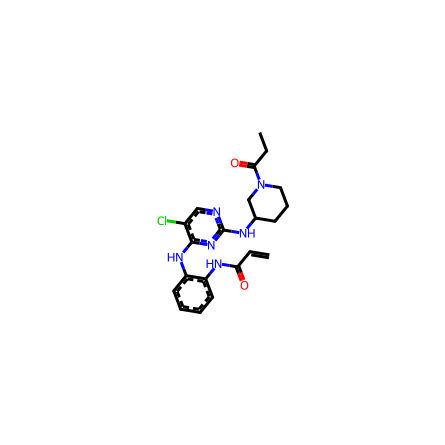 C=CC(=O)Nc1ccccc1Nc1nc(NC2CCCN(C(=O)CC)C2)ncc1Cl